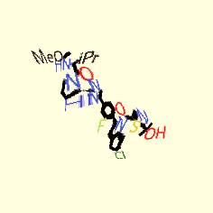 C=C(NC(C(=O)N1CCC[C@H]1c1ncc(-c2cc(F)c3c(c2)OC(c2cnc(C(C)(C)O)s2)n2c-3cc3cc(Cl)ccc32)[nH]1)C(C)C)OC